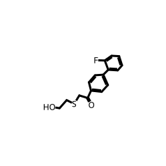 O=C(CSCCO)c1ccc(-c2ccccc2F)cc1